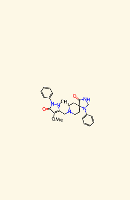 COc1c(CN2CCC3(CC2)C(=O)NCN3c2ccccc2)n(C)n(-c2ccccc2)c1=O